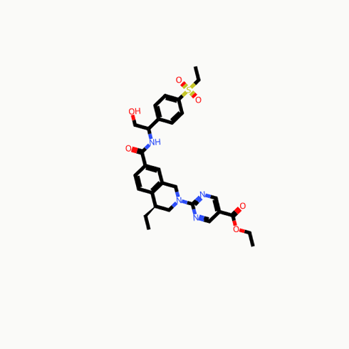 CCOC(=O)c1cnc(N2Cc3cc(C(=O)NC(CO)c4ccc(S(=O)(=O)CC)cc4)ccc3[C@H](CC)C2)nc1